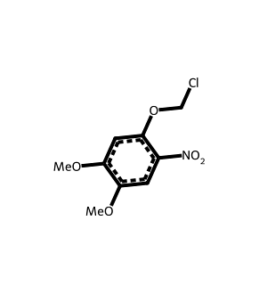 COc1cc(OCCl)c([N+](=O)[O-])cc1OC